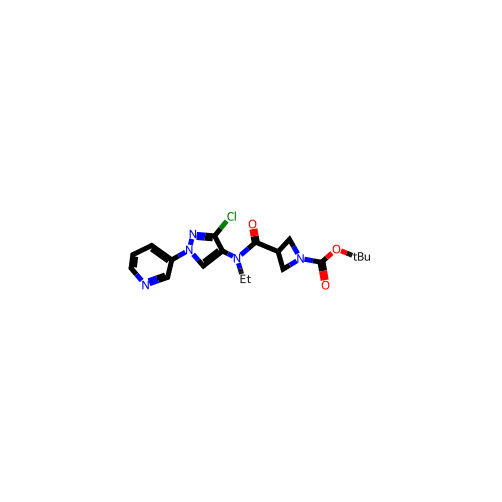 CCN(C(=O)C1CN(C(=O)OC(C)(C)C)C1)c1cn(-c2cccnc2)nc1Cl